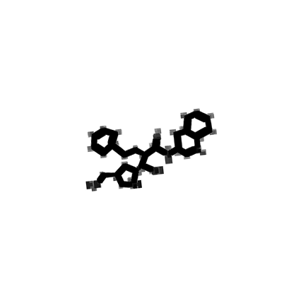 NC[C@@H]1CN[C@@H](C(O)[C@@H](CCc2ccccc2)C(=O)Nc2cnc3ccccc3c2)C1